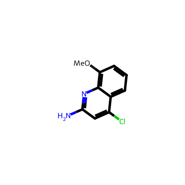 COc1cccc2c(Cl)cc(N)nc12